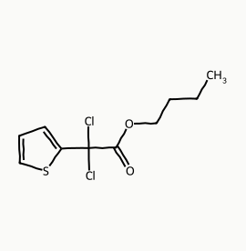 CCCCOC(=O)C(Cl)(Cl)c1cccs1